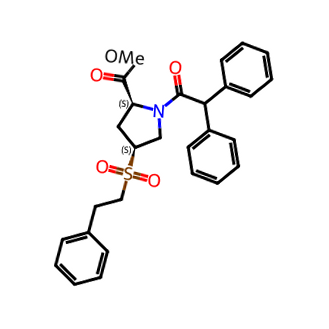 COC(=O)[C@@H]1C[C@H](S(=O)(=O)CCc2ccccc2)CN1C(=O)C(c1ccccc1)c1ccccc1